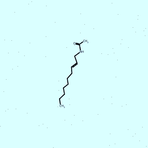 CCCCCCC/C=C/CNC(C)=O